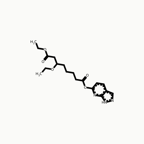 CCOC(=O)CC(CCCCC(=O)Oc1ccc2cn[nH]c2n1)OCC